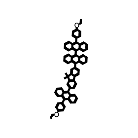 CCOc1ccc(-c2c3ccccc3c(-c3ccc4c(c3)C(C)(C)c3cc(-c5c6ccccc6c(-c6c7ccccc7c(-c7ccc(OCC)cc7)c7ccccc67)c6ccccc56)ccc3-4)c3ccccc23)cc1